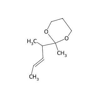 CC=CC(C)C1(C)OCCCO1